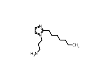 CCCCCCCc1nccn1CCCN